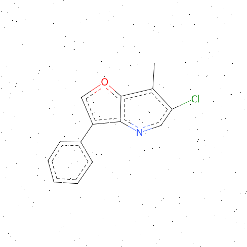 Cc1c(Cl)cnc2c(-c3ccccc3)coc12